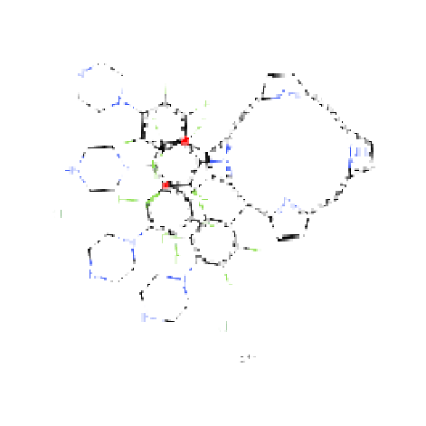 Fc1c(F)c(N2CCNCC2)c(F)c(F)c1-c1c(-c2c(F)c(F)c(N3CCNCC3)c(F)c2F)c2c(-c3c(F)c(F)c(N4CCNCC4)c(F)c3F)c3nc(cc4ccc(cc5nc(cc1n2-c1c(F)c(F)c(N2CCNCC2)c(F)c1F)C=C5)[nH]4)C=C3.[Cl-].[Cl-].[Cl-].[Fe+3]